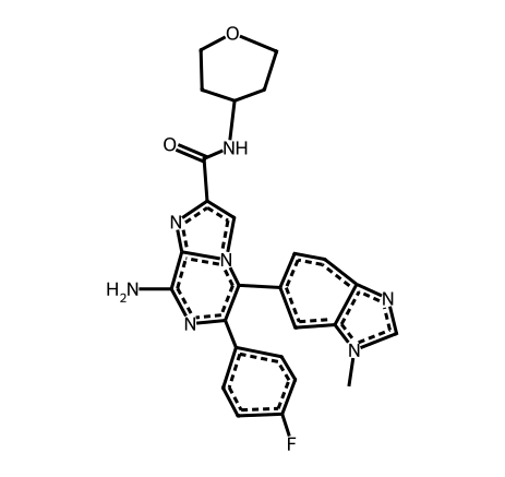 Cn1cnc2ccc(-c3c(-c4ccc(F)cc4)nc(N)c4nc(C(=O)NC5CCOCC5)cn34)cc21